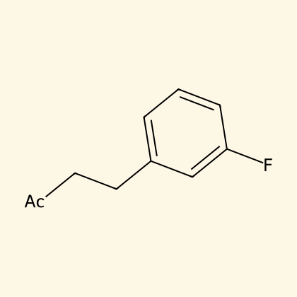 CC(=O)CCc1cccc(F)c1